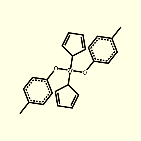 Cc1ccc([O][Zr]([O]c2ccc(C)cc2)([CH]2C=CC=C2)[CH]2C=CC=C2)cc1